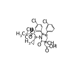 CC(C)(C)S(=O)(=O)C[C@H](C1CC1)N1C(=O)[C@@](C)(CC(=O)O)C[C@H](c2cccc(Cl)c2)[C@@H]1c1ccc(Cl)cc1